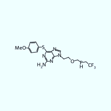 COc1ccc(Sc2nc(N)nc3c2ncn3CCOCPCC(F)(F)F)cc1